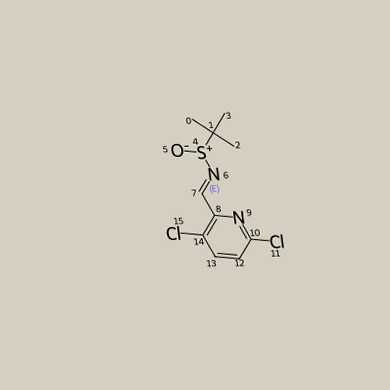 CC(C)(C)[S+]([O-])/N=C/c1nc(Cl)ccc1Cl